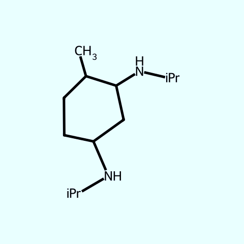 CC(C)NC1CCC(C)C(NC(C)C)C1